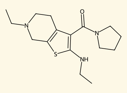 CCNc1sc2c(c1C(=O)N1CCCC1)CCN(CC)C2